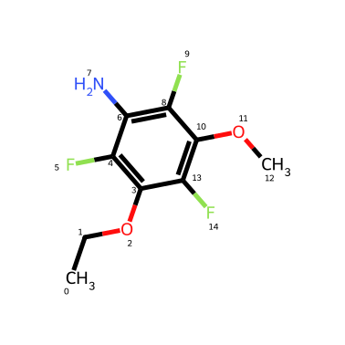 CCOc1c(F)c(N)c(F)c(OC)c1F